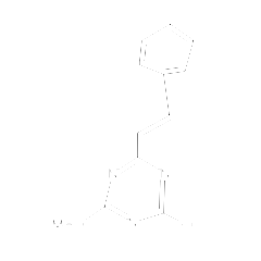 COc1nc(C=Cc2ccccc2)nc(C(Cl)(Cl)Cl)n1